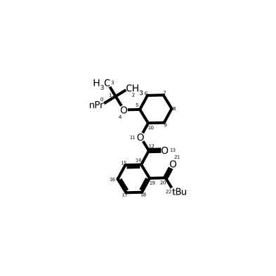 CCCC(C)(C)OC1CCCCC1OC(=O)c1ccccc1C(=O)C(C)(C)C